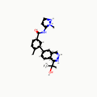 Cc1ccc(C(=O)Nc2ccnn2C)cc1-c1ccc2c(C(C)(O)C(F)(F)F)nncc2c1